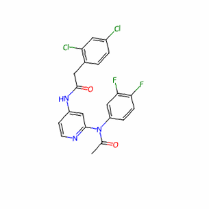 CC(=O)N(c1ccc(F)c(F)c1)c1cc(NC(=O)Cc2ccc(Cl)cc2Cl)ccn1